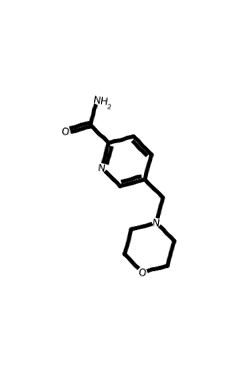 NC(=O)c1ccc(CN2CCOCC2)cn1